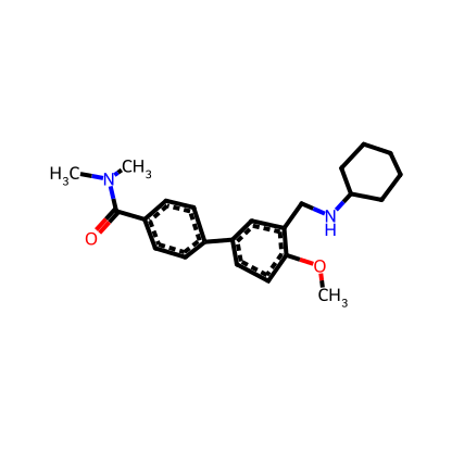 COc1ccc(-c2ccc(C(=O)N(C)C)cc2)cc1CNC1CCCCC1